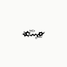 Cl.O=C1Nc2cc(F)ccc2C1CCCCN1CCc2sccc2C1